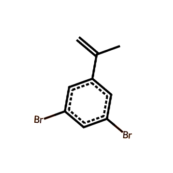 C=C(C)c1cc(Br)cc(Br)c1